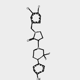 O=C1C(N2CCC(c3ccc(O)cc3)C(F)(F)C2)CCN1Cc1ccc(Cl)c(Cl)c1